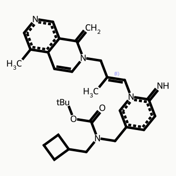 C=C1c2cncc(C)c2C=CN1C/C(C)=C/n1cc(CN(CC2CCC2)C(=O)OC(C)(C)C)ccc1=N